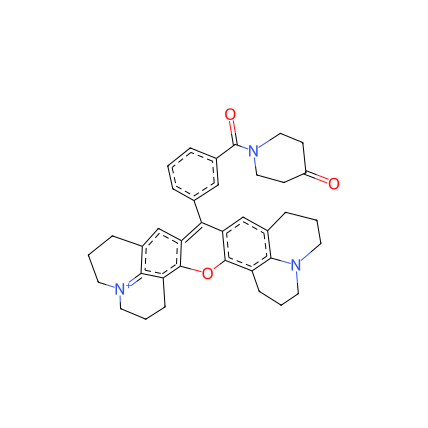 O=C1CCN(C(=O)c2cccc(C3=c4cc5c6c(c4Oc4c3cc3c7c4CCCN7CCC3)CCC[N+]=6CCC5)c2)CC1